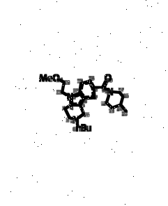 CCCCN1CCc2c(c3cc(C(=O)N4CCC(C)CC4)ccc3n2CCOC)C1